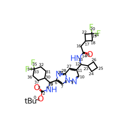 CC(C)(C)OC(=O)N[C@H](c1cn2ncc(C(NC(=O)CC3CC(F)(F)C3)C3CCC3)cc2n1)C1CCC(F)(F)CC1